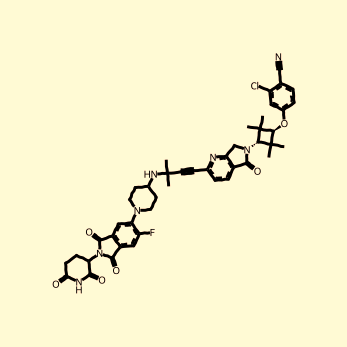 CC(C)(C#Cc1ccc2c(n1)CN([C@H]1C(C)(C)[C@H](Oc3ccc(C#N)c(Cl)c3)C1(C)C)C2=O)NC1CCN(c2cc3c(cc2F)C(=O)N(C2CCC(=O)NC2=O)C3=O)CC1